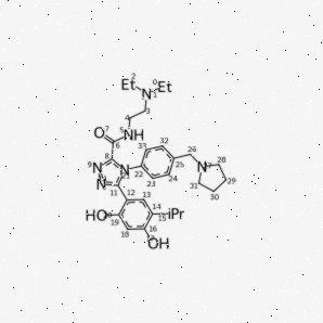 CCN(CC)CCNC(=O)c1nnc(-c2cc(C(C)C)c(O)cc2O)n1-c1ccc(CN2CCCC2)cc1